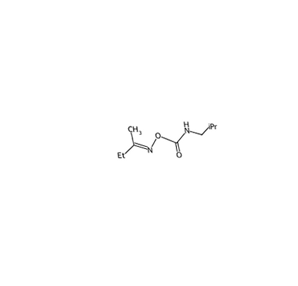 CC/C(C)=N/OC(=O)NCC(C)C